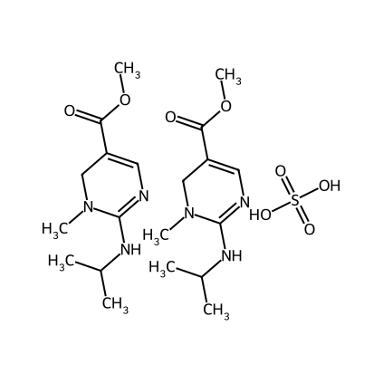 COC(=O)C1=CN=C(NC(C)C)N(C)C1.COC(=O)C1=CN=C(NC(C)C)N(C)C1.O=S(=O)(O)O